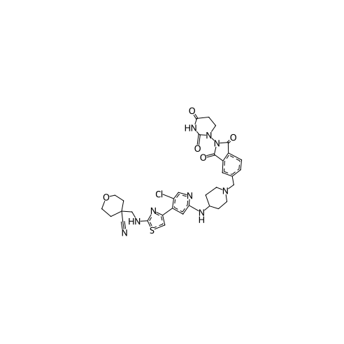 N#CC1(CNc2nc(-c3cc(NC4CCN(Cc5ccc6c(c5)C(=O)N(N5CCC(=O)NC5=O)C6=O)CC4)ncc3Cl)cs2)CCOCC1